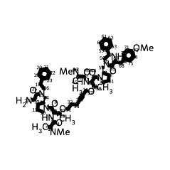 CN[C@@H](C)C(=O)N[C@H](C(=O)N1CCC[C@H]1CN(CCc1ccccc1)C(=O)CN)[C@@H](C)OCCCC#CCO[C@H](C)[C@H](NC(=O)[C@H](C)NC)C(=O)N1CCC[C@H]1CN(CCc1ccccc1)C(=O)[C@H](N)Cc1ccc(OC)cc1